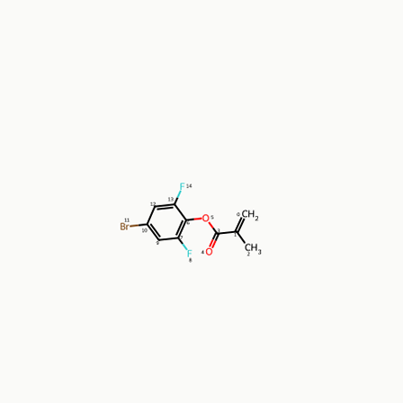 C=C(C)C(=O)Oc1c(F)cc(Br)cc1F